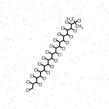 CC(C)(Cl)C(Cl)C(Cl)C(Cl)C(Cl)C(Cl)C(Cl)C(Cl)C(Cl)C(Cl)C(Cl)C(Cl)C(Cl)C(Cl)C(Cl)C(Cl)C(Cl)C(Cl)C(Cl)C(Cl)C(Cl)C(Cl)CCl